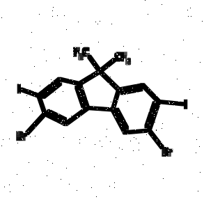 FC(F)(F)C1(C(F)(F)F)c2cc(I)c(Br)cc2-c2cc(Br)c(I)cc21